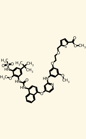 COC(=O)c1ccc(COCCOc2cc(Nc3cc(Oc4ccc(NC(=O)Nc5cc(C(C)(C)C)cc(NS(C)(=O)=O)c5OC)c5ccccc45)ccn3)cc(OC)c2)s1